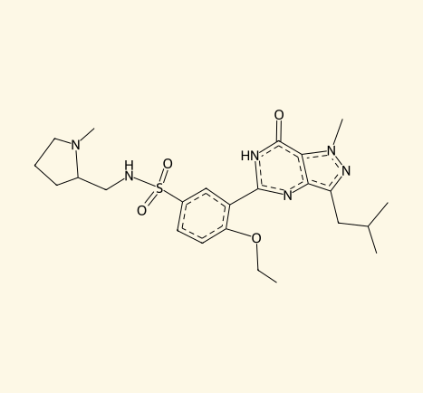 CCOc1ccc(S(=O)(=O)NCC2CCCN2C)cc1-c1nc2c(CC(C)C)nn(C)c2c(=O)[nH]1